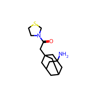 NC12CC3CC(C1)CC(CC(=O)N1CCSC1)(C3)C2